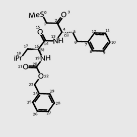 CSCC(=O)[C@H](CCc1ccccc1)NC(=O)[C@H](CC(C)C)NC(=O)OCc1ccccc1